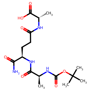 C[C@H](NC(=O)CC[C@@H](NC(=O)[C@H](C)NC(=O)OC(C)(C)C)C(N)=O)C(=O)O